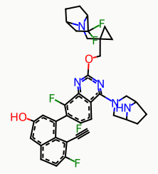 C#Cc1c(F)ccc2cc(O)cc(-c3c(F)cc4c(N5CC6CCC(C5)N6)nc(OCC5(CN6C7CCC6C(F)(F)C7)CC5)nc4c3F)c12